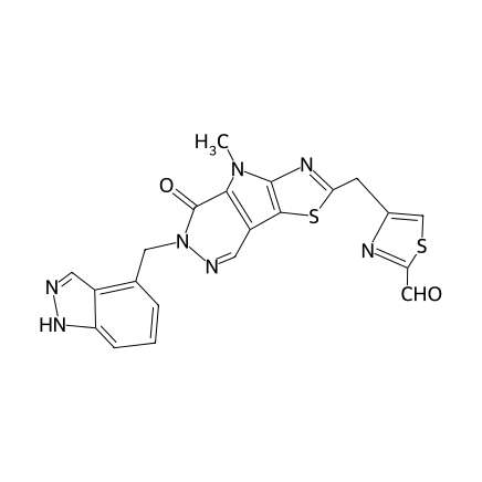 Cn1c2nc(Cc3csc(C=O)n3)sc2c2cnn(Cc3cccc4[nH]ncc34)c(=O)c21